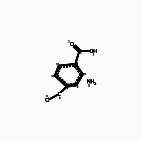 N.O=C(O)c1ccc(CCl)cc1